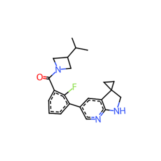 CC(C)C1CN(C(=O)c2cccc(-c3cnc4c(c3)C3(CC3)CN4)c2F)C1